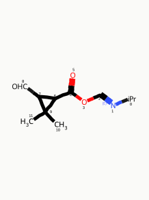 CC(C)/N=C/OC(=O)C1C(C=O)C1(C)C